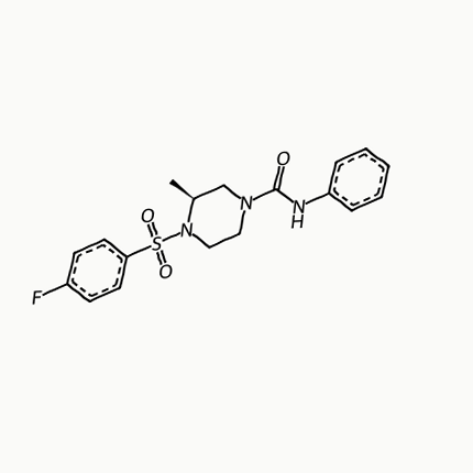 C[C@H]1CN(C(=O)Nc2ccccc2)CCN1S(=O)(=O)c1ccc(F)cc1